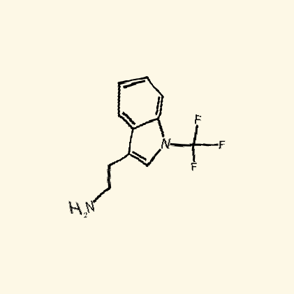 NCCc1cn(C(F)(F)F)c2ccccc12